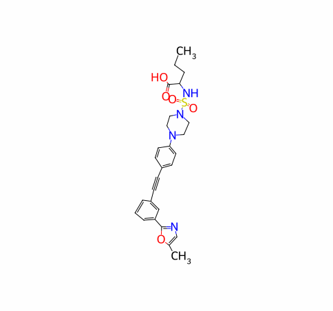 CCCC(NS(=O)(=O)N1CCN(c2ccc(C#Cc3cccc(-c4ncc(C)o4)c3)cc2)CC1)C(=O)O